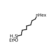 CCCCCCCCCCCCC[SiH2]OCC